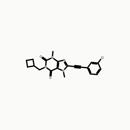 Cn1c(C#Cc2cccc(Cl)c2)nc2c1c(=O)n(CC1CCC1)c(=O)n2C